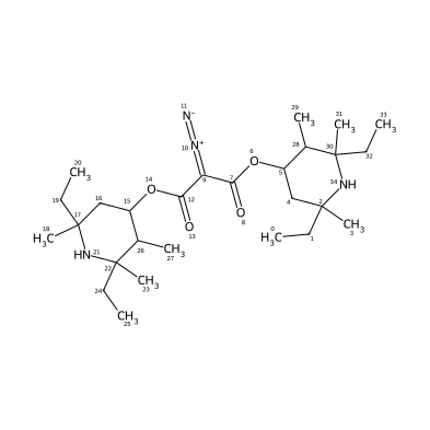 CCC1(C)CC(OC(=O)C(=[N+]=[N-])C(=O)OC2CC(C)(CC)NC(C)(CC)C2C)C(C)C(C)(CC)N1